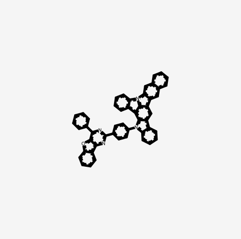 c1ccc(-c2nc(-c3ccc(-n4c5ccccc5c5cc6c7cc8ccccc8cc7n7c8ccccc8c(c54)c67)cc3)nc3c2oc2ccccc23)cc1